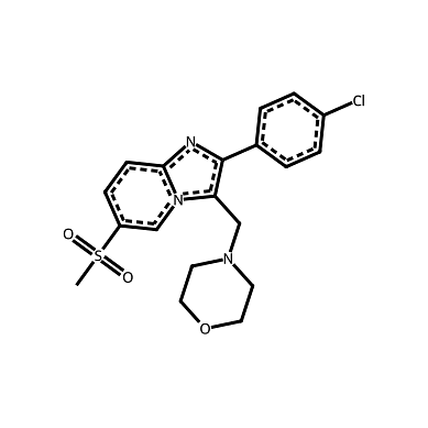 CS(=O)(=O)c1ccc2nc(-c3ccc(Cl)cc3)c(CN3CCOCC3)n2c1